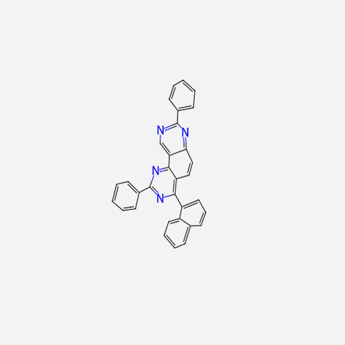 c1ccc(-c2ncc3c(ccc4c(-c5cccc6ccccc56)nc(-c5ccccc5)nc43)n2)cc1